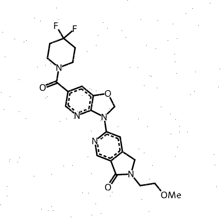 COCCN1Cc2cc(N3COc4cc(C(=O)N5CCC(F)(F)CC5)cnc43)ncc2C1=O